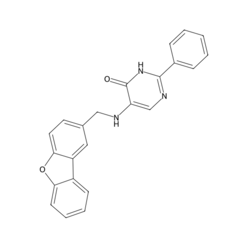 O=c1[nH]c(-c2ccccc2)ncc1NCc1ccc2oc3ccccc3c2c1